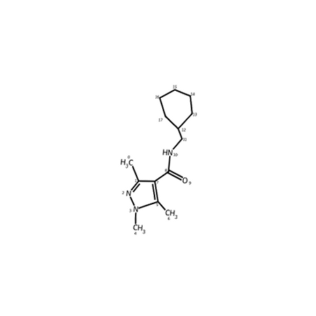 Cc1nn(C)c(C)c1C(=O)NCC1CCCCC1